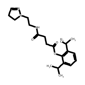 CC(C)c1cccc(C(C)C)c1OC(=O)CCC(=O)NCCN1CCC=N1